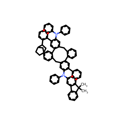 CC1(C)c2ccccc2-c2cc(N(c3ccccc3)c3cc4c(cc3-c3ccccc3)-c3ccccc3Cc3cc(N(c5ccccc5)c5ccccc5)c(-c5ccccc5C5CC6CCC5C6)cc3-c3ccccc3C4)ccc21